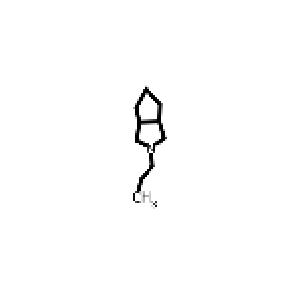 CCCN1CC2CCCC2C1